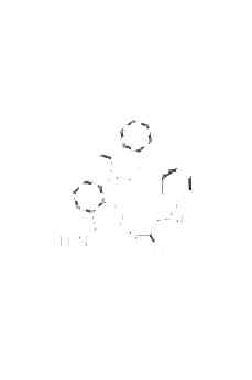 NC(=O)C1NC2C=CC=CC2S1.NCc1cccc(N(CC(=O)O)C(=O)c2ccccc2)c1OC(F)(F)F